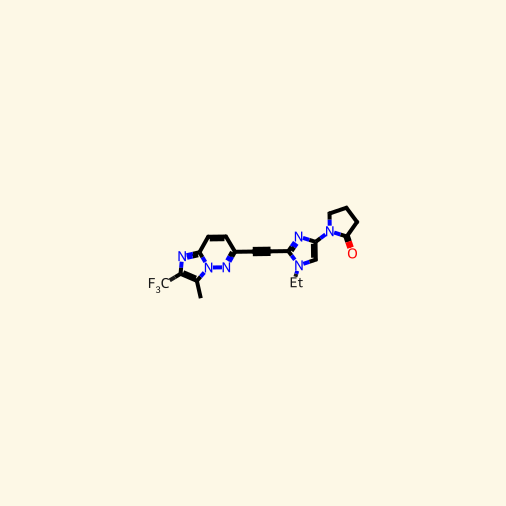 CCn1cc(N2CCCC2=O)nc1C#Cc1ccc2nc(C(F)(F)F)c(C)n2n1